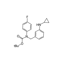 CC(C)(C)OC(=O)N(Cc1cccc(NC2CC2)c1)c1ccc(F)cc1